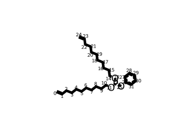 C=CCCCCCCCCCOP(OCCCCCCCCCC=C)Oc1ccccc1